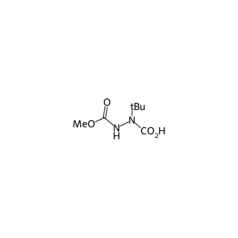 COC(=O)NN(C(=O)O)C(C)(C)C